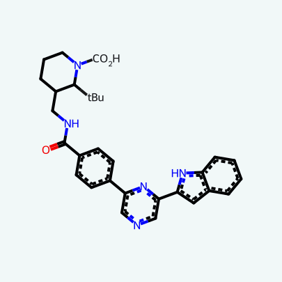 CC(C)(C)C1C(CNC(=O)c2ccc(-c3cncc(-c4cc5ccccc5[nH]4)n3)cc2)CCCN1C(=O)O